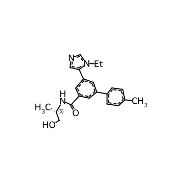 CCn1cncc1-c1cc(C(=O)N[C@@H](C)CO)cc(-c2ccc(C)cc2)c1